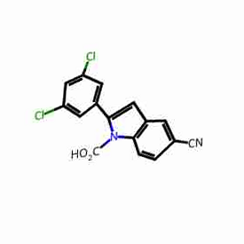 N#Cc1ccc2c(c1)cc(-c1cc(Cl)cc(Cl)c1)n2C(=O)O